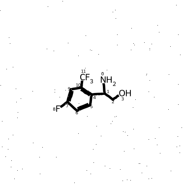 NC(CO)c1ccc(F)cc1C(F)(F)F